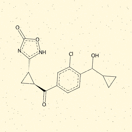 O=C(c1ccc(C(O)C2CC2)c(Cl)c1)[C@H]1C[C@@H]1c1nc(=O)o[nH]1